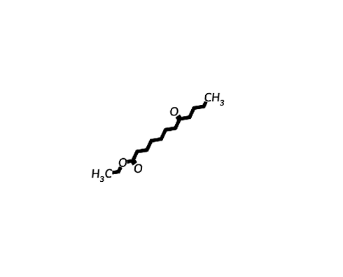 CCCCC(=O)CCCCCCC(=O)OCC